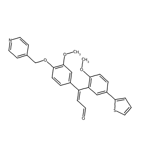 COc1cc(C(=CC=O)c2cc(-c3cccs3)ccc2OC)ccc1OCc1ccncc1